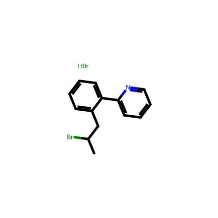 Br.CC(Br)Cc1ccccc1-c1ccccn1